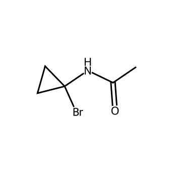 CC(=O)NC1(Br)CC1